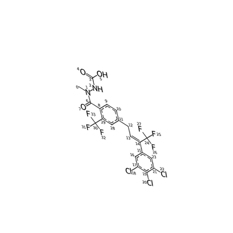 CN(NC(=O)O)C(=O)c1ccc(CC=C(c2cc(Cl)c(Cl)c(Cl)c2)C(F)(F)F)cc1C(F)(F)F